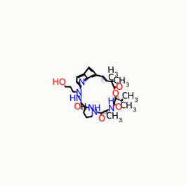 CC(C)[C@@H]1OC(=O)C(C)(C)/C=C/c2ccc3ccc(nc3c2)N(CCCO)NC(=O)[C@@H]2CCCN(N2)C(=O)[C@H](C)NC1=O